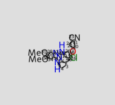 C#Cc1cccc(Nc2nc(Nc3ccc(Cl)c(Oc4ccc(C#N)cc4)c3)nc3cc(OC)c(OC)cc23)c1